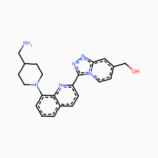 NCC1CCN(c2cccc3ccc(-c4nnc5cc(CO)ccn45)nc23)CC1